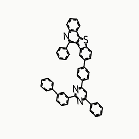 c1ccc(-c2cccc(-c3nc(-c4ccccc4)cc(-c4ccc(-c5ccc6sc7c8ccccc8nc(-c8ccccc8)c7c6c5)cc4)n3)c2)cc1